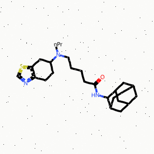 CCCN(CCCCC(=O)NC1C2CC3CC(C2)CC1C3)C1CCc2ncsc2C1